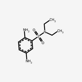 CCN(CC)S(=O)(=O)c1cc(N)ccc1N